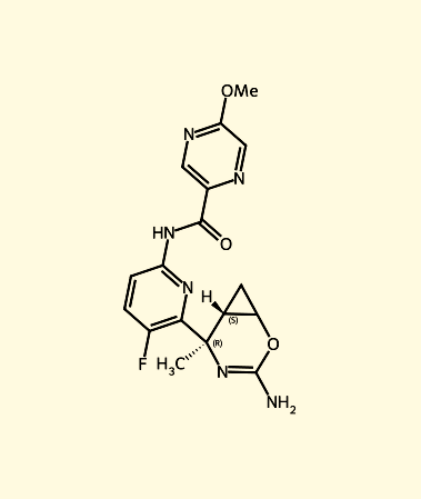 COc1cnc(C(=O)Nc2ccc(F)c([C@]3(C)N=C(N)OC4C[C@H]43)n2)cn1